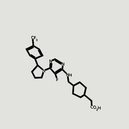 O=C(O)CC1CCC(CNc2ncnc(N3CCCC3c3ccc(C(F)(F)F)cc3)c2F)CC1